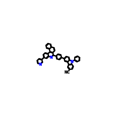 N#Cc1ccc2c(c1)c1cc(-c3ccc(-c4nc5cc(-c6cccnc6)ccc5c5c4ccc4ccccc45)cc3)ccc1n2-c1ccccc1